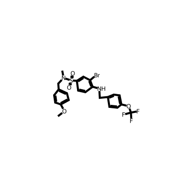 COc1ccc(CN(C)S(=O)(=O)c2ccc(NCc3ccc(OC(F)(F)F)cc3)c(Br)c2)cc1